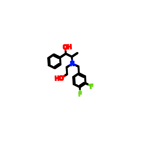 CC(C(O)c1ccccc1)N(CCO)Cc1ccc(F)c(F)c1